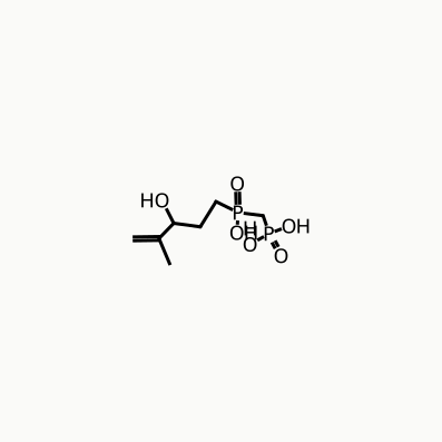 C=C(C)C(O)CCP(=O)(O)CP(=O)(O)O